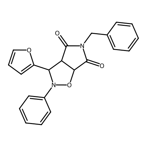 O=C1C2ON(c3ccccc3)C(c3ccco3)C2C(=O)N1Cc1ccccc1